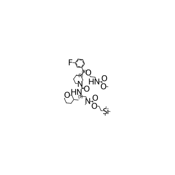 COC(=O)NCCO[C@@H](c1cccc(F)c1)[C@@H]1CCCN(C(=O)N[C@@H](CC2CCCOC2)CN(C)C(=O)OCC[Si](C)(C)C)C1